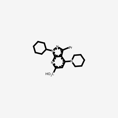 CC(C)c1nn(C2CCCCC2)c2nc(C(=O)O)cc(N3CCCCC3)c12